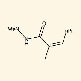 CCCC=C(C)C(=O)NNC